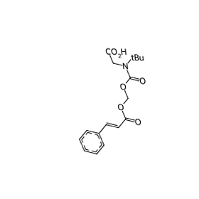 CC(C)(C)N(CC(=O)O)C(=O)OCOC(=O)C=Cc1ccccc1